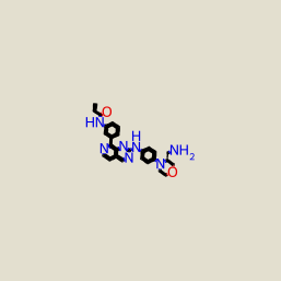 C=CC(=O)Nc1cccc(-c2nccc3cnc(Nc4ccc(N5CCOC[C@@H]5CN)cc4)nc23)c1